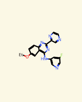 CCOc1ccc2nc(-c3cnccn3)nc(Nc3cncc(F)c3)c2c1